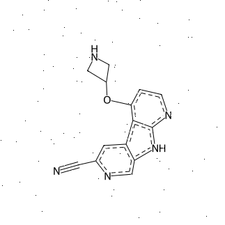 N#Cc1cc2c(cn1)[nH]c1nccc(OC3CNC3)c12